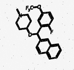 CN1CCC(OC(c2ccc3ccccc3c2)c2cc(OC(F)(F)F)ccc2F)CC1